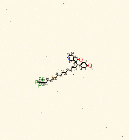 COc1ccc2c(c1)OCC(C)(c1cccnc1)C2CCCCCCCCCSCCCC(F)(F)C(F)(F)F